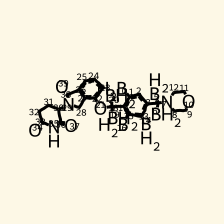 Bc1cc(C(B)(B)N2CCOCC2)c(B)c(B)c1C(B)(B)Oc1cccc2c1CN(C1CCC(=O)NC1=O)C2=O